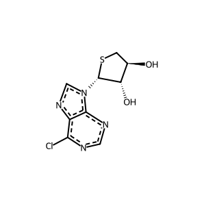 O[C@H]1[C@H](O)CS[C@H]1n1cnc2c(Cl)ncnc21